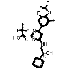 O=C(O)C(F)(F)F.O[C@@H](CNc1cc(-c2cc(F)c(OC(F)F)c(F)c2)ncn1)c1ccccc1